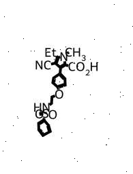 CCc1c(C#N)c(-c2ccc(OCCNS(=O)(=O)c3ccccc3)cc2)c(C(=O)O)n1C